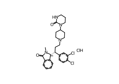 CN1C(=O)c2ccccc2[C@H]1C(CCN1CCC(N2CCCNC2=O)CC1)c1ccc(Cl)c(Cl)c1.Cl